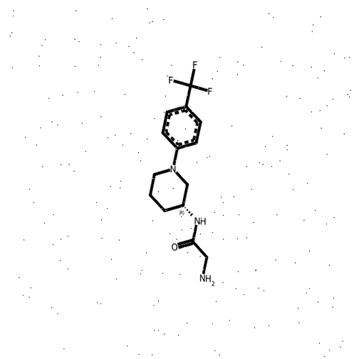 NCC(=O)N[C@@H]1CCCN(c2ccc(C(F)(F)F)cc2)C1